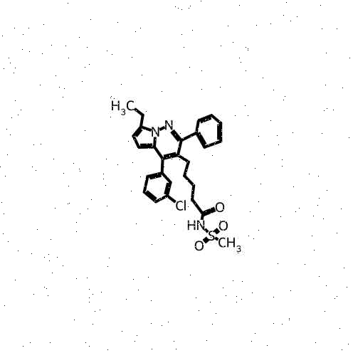 CCc1ccc2c(-c3cccc(Cl)c3)c(CCCCC(=O)NS(C)(=O)=O)c(-c3ccccc3)nn12